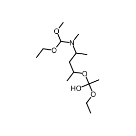 CCOC(OC)N(C)C(C)CC(C)OC(C)(O)OCC